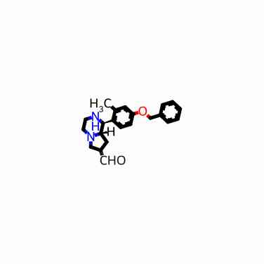 Cc1cc(OCc2ccccc2)ccc1[C@@H]1NCCN2CC(C=O)C[C@@H]12